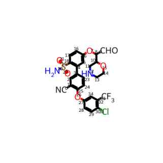 N#Cc1cc(-c2cc(OC(C=O)C3CNCCO3)ccc2S(N)(=O)=O)ccc1Oc1ccc(Cl)c(C(F)(F)F)c1